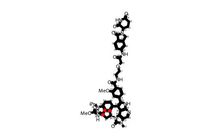 COC(=O)N[C@@H]1CC[C@@H](n2c(=O)n(C)c3cnc4[nH]c(-c5ccc(C(=O)NCCOCC(=O)Nc6ccc7c(c6)CN(C6CCC(=O)NC6=O)C7=O)c(OC)c5)c(-c5ccc6c(cnn6C(C)C)c5)c4c32)C1